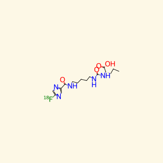 CCC[C@H](NC(=O)NCCCCCNC(=O)c1cnc([18F])cn1)C(=O)O